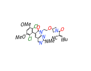 CNc1ncc2cc(-c3c(Cl)c(OC)cc(OC)c3Cl)c(=O)n(CCOC3CN(C(=O)/C(C#N)=C/C(C)(C)C)C3)c2n1